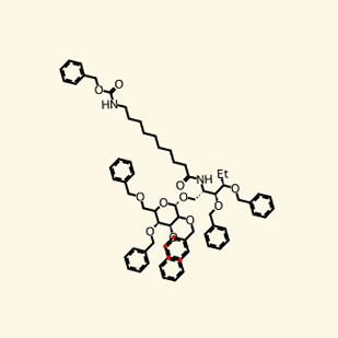 CC[C@@H](OCc1ccccc1)[C@@H](OCc1ccccc1)[C@H](CO[C@H]1OC(COCc2ccccc2)[C@H](OCc2ccccc2)[C@H](OCc2ccccc2)C1OCc1ccccc1)NC(=O)CCCCCCCCCNC(=O)OCc1ccccc1